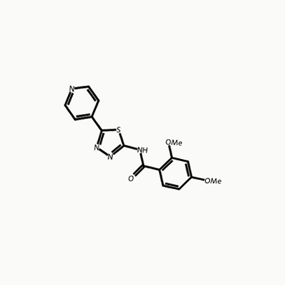 COc1ccc(C(=O)Nc2nnc(-c3ccncc3)s2)c(OC)c1